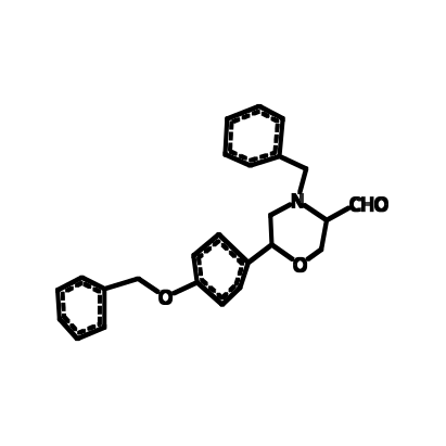 O=CC1COC(c2ccc(OCc3ccccc3)cc2)CN1Cc1ccccc1